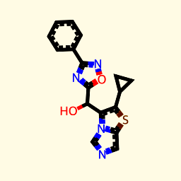 OC(c1nc(-c2ccccc2)no1)c1c(C2CC2)sc2cncn12